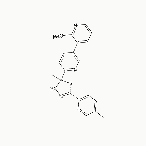 COc1ncccc1-c1ccc(C2(C)NN=C(c3ccc(C)cc3)S2)nc1